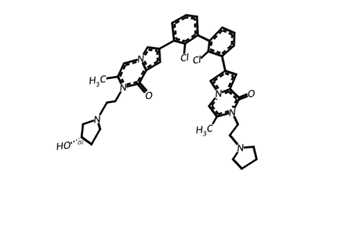 Cc1cn2cc(-c3cccc(-c4cccc(-c5cc6c(=O)n(CCN7CC[C@H](O)C7)c(C)cn6c5)c4Cl)c3Cl)cc2c(=O)n1CCN1CCCC1